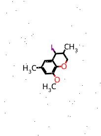 COc1cc(C)cc2c1OCC(C)C2I